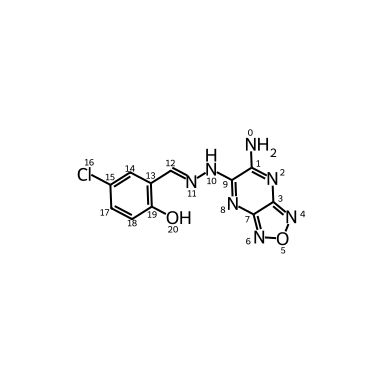 Nc1nc2nonc2nc1N/N=C/c1cc(Cl)ccc1O